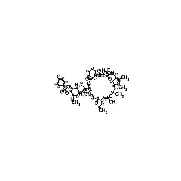 C=CCC1/C=C(\C)CC(C)CC(OC)C2OC(O)(C(=O)C(=O)N3CCCCC3C(=O)OC(C(C)=CC3CCC(OS(=O)(=O)c4ccc(I)cc4)C(OC)C3)C(C)/C=C/C1=O)C(C)CC2OC